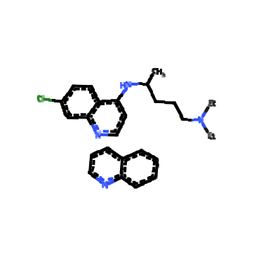 CCN(CC)CCCC(C)Nc1ccnc2cc(Cl)ccc12.c1ccc2ncccc2c1